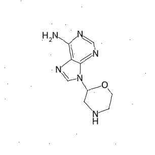 Nc1ncnc2c1ncn2C1CNCCO1